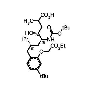 CCOC(=O)COc1cc(C(C)(C)C)ccc1C[C@@H](C[C@H](NC(=O)OC(C)(C)C)[C@@H](O)CC(C)C(=O)O)C(C)C